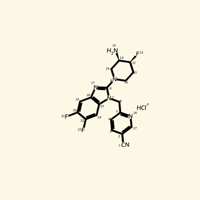 Cl.N#Cc1ccc(Cn2c(N3CC[C@H](F)[C@H](N)C3)nc3cc(F)c(F)cc32)nc1